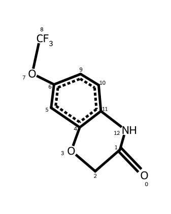 O=C1COc2cc(OC(F)(F)F)ccc2N1